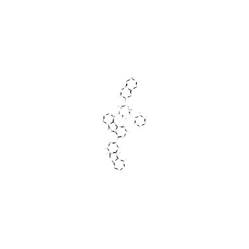 c1ccc(C2=NC(c3ccc4ccccc4c3)=NC(c3cccc4oc5c(-c6ccc7oc8ccccc8c7c6)cccc5c34)N2)cc1